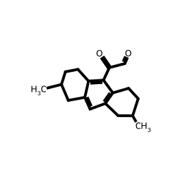 CC1CCc2c(cc3c(c2C(=O)C=O)CCC(C)C3)C1